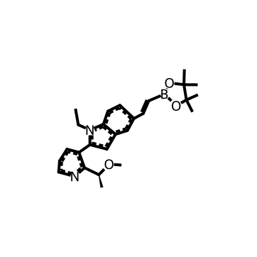 CCn1c(-c2cccnc2[C@H](C)OC)cc2cc(/C=C/B3OC(C)(C)C(C)(C)O3)ccc21